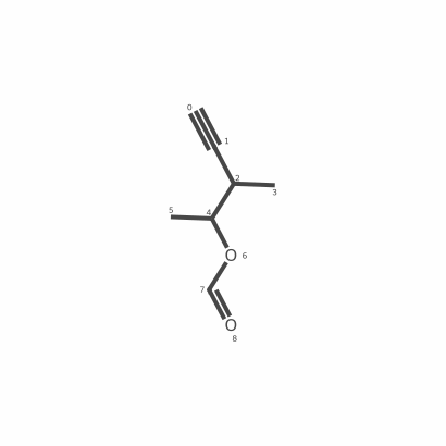 C#CC(C)C(C)O[C]=O